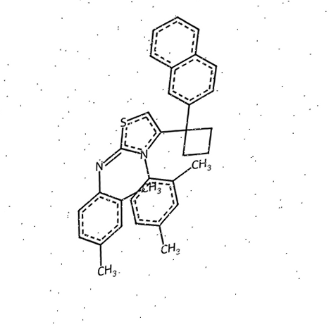 Cc1ccc(/N=c2/scc(C3(c4ccc5ccccc5c4)CCC3)n2-c2ccc(C)cc2C)c(C)c1